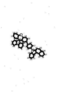 c1ccc(C2(c3ccccc3)c3ccccc3Oc3ccc(-c4ccc(-n5c6ccccc6c6c7ccccc7ccc65)cc4)cc32)cc1